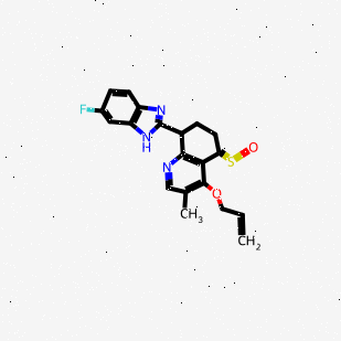 C=CCOc1c(C)cnc2c1C(=S=O)CCC2c1nc2ccc(F)cc2[nH]1